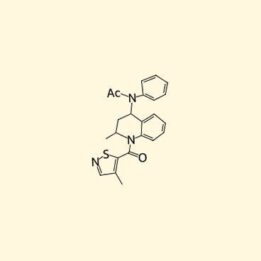 CC(=O)N(c1ccccc1)C1CC(C)N(C(=O)c2sncc2C)c2ccccc21